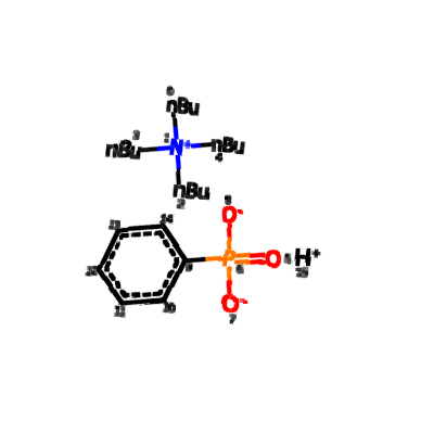 CCCC[N+](CCCC)(CCCC)CCCC.O=P([O-])([O-])c1ccccc1.[H+]